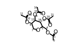 CC(=O)OCC1OC[C@@H](OC(C)=O)C(OC(C)=O)[C@@H]1OC(C)=O